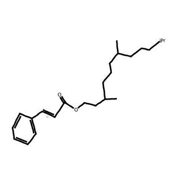 CC(C)CCCC(C)CCCC(C)CCOC(=O)/C=C/c1ccccc1